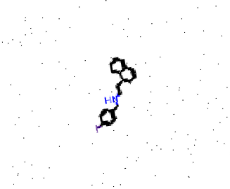 Ic1ccc(CNCCc2cccc3ccccc23)cc1